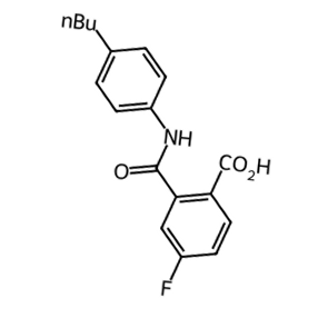 CCCCc1ccc(NC(=O)c2cc(F)ccc2C(=O)O)cc1